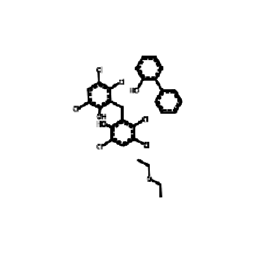 CCOCC.Oc1c(Cl)cc(Cl)c(Cl)c1Cc1c(O)c(Cl)cc(Cl)c1Cl.Oc1ccccc1-c1ccccc1